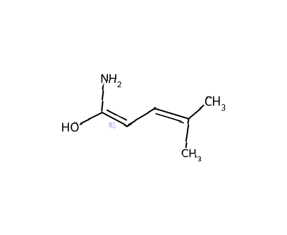 CC(C)=C/C=C(\N)O